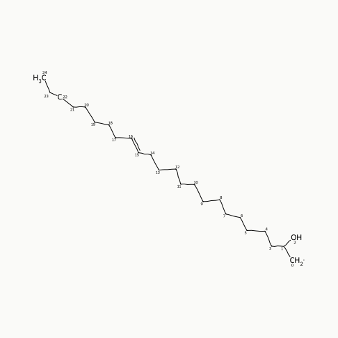 [CH2]C(O)CCCCCCCCCCCC/C=C/CCCCCCCC